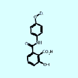 CCOc1ccc(NC(=O)c2cccc(O)c2C(=O)O)cc1